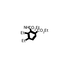 CCOC(=O)c1ccc(CC)c(CC)c1C(=O)OCC.N